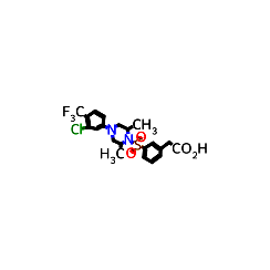 CC1CN(c2ccc(C(F)(F)F)c(Cl)c2)CC(C)N1S(=O)(=O)c1cccc(CC(=O)O)c1